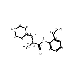 CC(C)Oc1ccccc1OC(=O)N(C)SN1CCOCC1